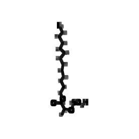 CC(OS(=O)(=O)O)C(=O)OCCCCCCCCCCCCF